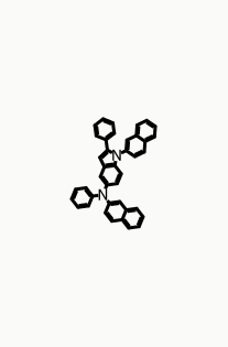 c1ccc(-c2cc3cc(N(c4ccccc4)c4ccc5ccccc5c4)ccc3n2-c2ccc3ccccc3c2)cc1